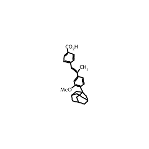 COc1cc(C(C)=Cc2ccc(C(=O)O)cc2)ccc1C12CC3CC(CC(C3)C1)C2